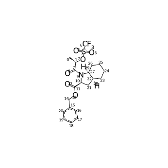 C[C@@H](OS(=O)(=O)C(F)(F)F)C(=O)N1[C@H](C(=O)OCc2ccccc2)C[C@@H]2CCCC[C@@H]21